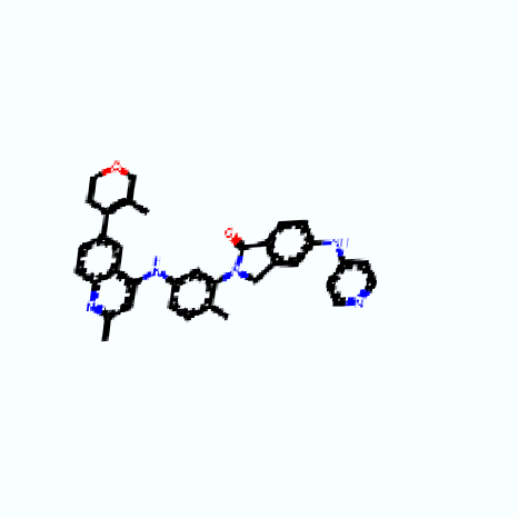 CC1=C(c2ccc3nc(C)cc(Nc4ccc(C)c(N5Cc6cc(Nc7ccncc7)ccc6C5=O)c4)c3c2)CCOC1